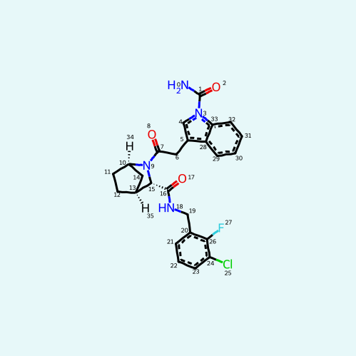 NC(=O)n1cc(CC(=O)N2[C@@H]3CC[C@@H](C3)[C@H]2C(=O)NCc2cccc(Cl)c2F)c2ccccc21